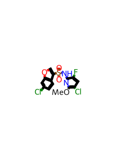 COc1nc(NS(=O)(=O)c2coc3cc(Cl)ccc23)c(F)cc1Cl